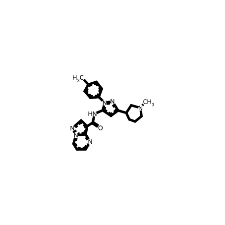 Cc1ccc(-n2nc(C3CCCN(C)C3)cc2NC(=O)c2cnn3cccnc23)cc1